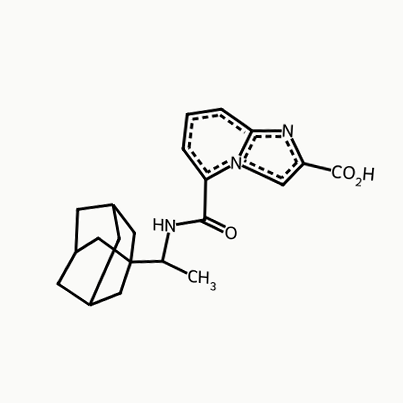 CC(NC(=O)c1cccc2nc(C(=O)O)cn12)C12CC3CC(CC(C3)C1)C2